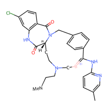 CNCCN1C/B=C(/Nc2ccc(C)cn2)c2ccc(cc2)CN2C(=O)c3ccc(Cl)cc3NC(=O)[C@H]2CC1